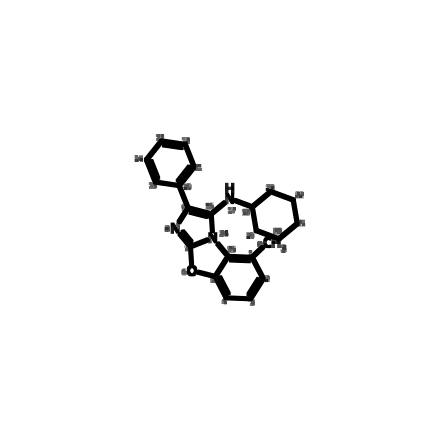 Cc1cccc2oc3nc(-c4ccccc4)c(NC4CCCCC4)n3c12